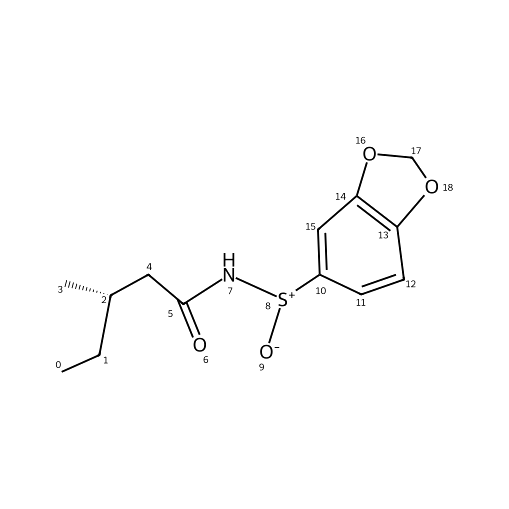 CC[C@H](C)CC(=O)N[S+]([O-])c1ccc2c(c1)OCO2